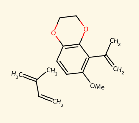 C=C(C)c1c(OC)ccc2c1OCCO2.C=CC(=C)C